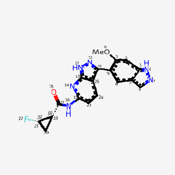 COc1cc2[nH]ncc2cc1-c1n[nH]c2nc(NC(=O)[C@@H]3C[C@@H]3F)ccc12